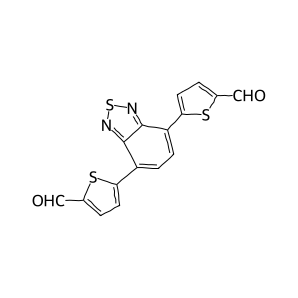 O=Cc1ccc(-c2ccc(-c3ccc(C=O)s3)c3nsnc23)s1